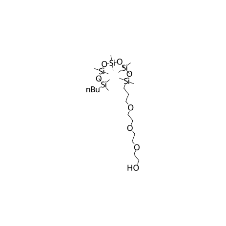 CCCC[Si](C)(C)O[Si](C)(C)O[Si](C)(C)O[Si](C)(C)O[Si](C)(C)CCCOCCOCCOCCO